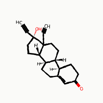 C#CC12CC[C@H]3[C@@H](CCC4=CC(=O)CC[C@@H]43)[C@@H]1CC[C@@]2(O)C#C